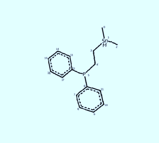 [CH3][SnH]([CH3])[CH2]CP(c1ccccc1)c1ccccc1